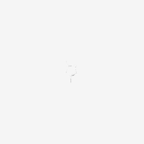 CC1=CNC(C)C1